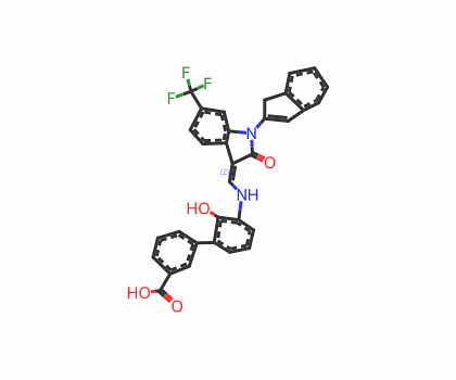 O=C(O)c1cccc(-c2cccc(N/C=C3\C(=O)N(C4=Cc5ccccc5C4)c4cc(C(F)(F)F)ccc43)c2O)c1